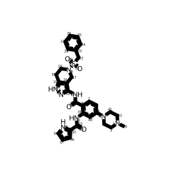 CN1CCN(c2ccc(C(=O)Nc3n[nH]c4c3CN(S(=O)(=O)Cc3ccccc3)CC4)c(NC(=O)c3ccc[nH]3)c2)CC1